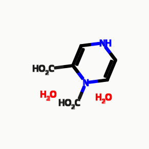 O.O.O=C(O)C1=CNC=CN1C(=O)O